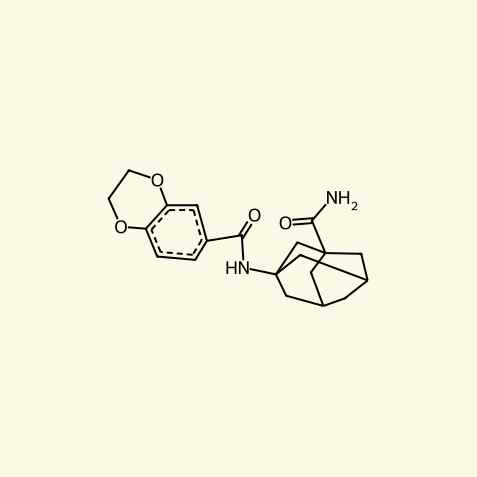 NC(=O)C12CC3CC(CC(NC(=O)c4ccc5c(c4)OCCO5)(C3)C1)C2